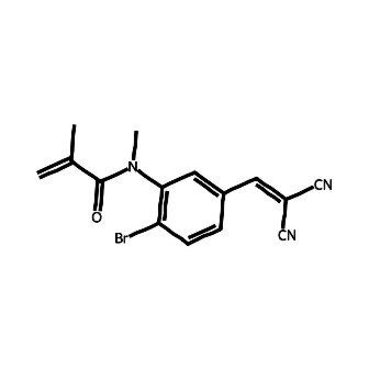 C=C(C)C(=O)N(C)c1cc(C=C(C#N)C#N)ccc1Br